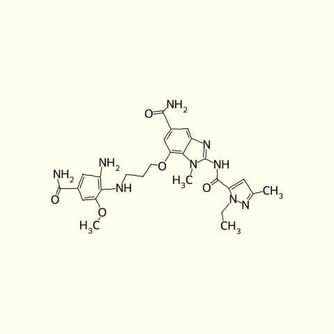 CCn1nc(C)cc1C(=O)Nc1nc2cc(C(N)=O)cc(OCCCNc3c(N)cc(C(N)=O)cc3OC)c2n1C